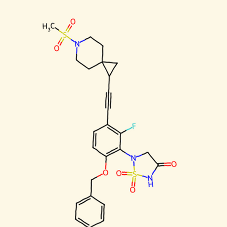 CS(=O)(=O)N1CCC2(CC1)CC2C#Cc1ccc(OCc2ccccc2)c(N2CC(=O)NS2(=O)=O)c1F